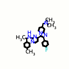 Cc1ccc(C(C)Nc2nccc(-c3c(-c4ccc(F)cc4)nc4cc(CN(C)C)ccn34)n2)cc1